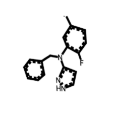 [CH2]c1ccc(F)c(N(Cc2ccccc2)c2cc[nH]n2)c1